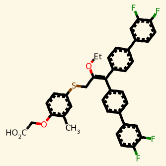 CCOC(CSc1ccc(OCC(=O)O)c(C)c1)=C(c1ccc(-c2ccc(F)c(F)c2)cc1)c1ccc(-c2ccc(F)c(F)c2)cc1